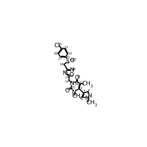 Cc1c(-c2cnn(C)c2)n(C)c(=O)n(Cc2nc(C[S+]([O-])c3ccc(Cl)cc3)no2)c1=O